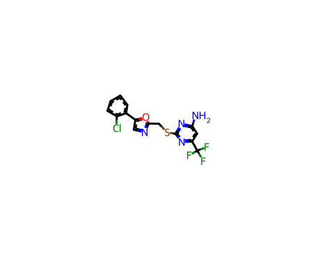 Nc1cc(C(F)(F)F)nc(SCc2ncc(-c3ccccc3Cl)o2)n1